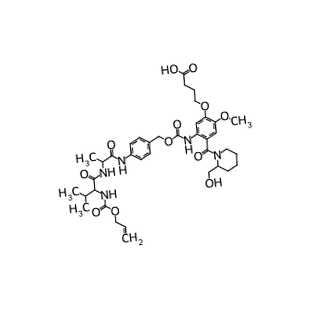 C=CCOC(=O)NC(C(=O)NC(C)C(=O)Nc1ccc(COC(=O)Nc2cc(OCCCC(=O)O)c(OC)cc2C(=O)N2CCCCC2CO)cc1)C(C)C